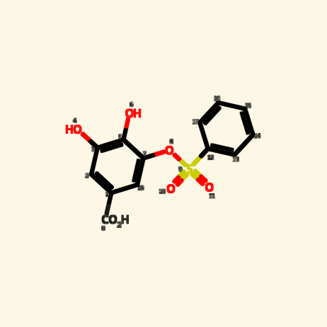 O=C(O)c1cc(O)c(O)c(OS(=O)(=O)c2ccccc2)c1